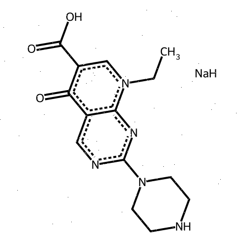 CCn1cc(C(=O)O)c(=O)c2cnc(N3CCNCC3)nc21.[NaH]